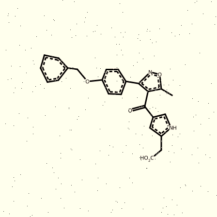 Cc1onc(-c2ccc(OCc3ccccc3)cc2)c1C(=O)c1c[nH]c(CC(=O)O)c1